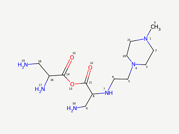 CN1CCN(CCNC(CN)C(=O)OC(=O)C(N)CN)CC1